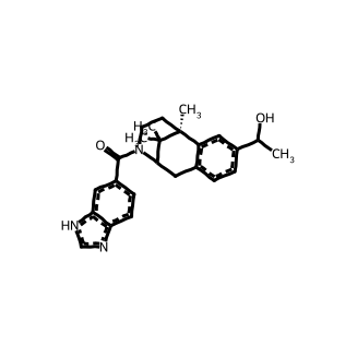 CC(O)c1ccc2c(c1)[C@]1(C)CCN(C(=O)c3ccc4nc[nH]c4c3)C(C2)C1(C)C